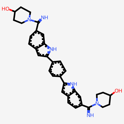 N=C(c1ccc2cc(-c3ccc(-c4cc5ccc(C(=N)N6CCC(O)CC6)cc5[nH]4)cc3)[nH]c2c1)N1CCC(O)CC1